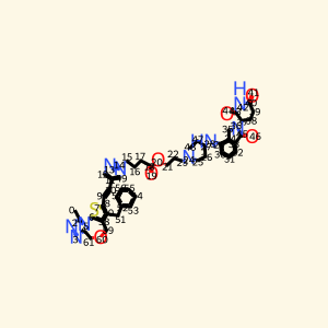 Cc1nnc2n1-c1sc(C#Cc3cnn(CCCC(=O)OCCCN4CCC(Nc5cccc6c5CN(C5CCC(=O)NC5=O)C6=O)CC4)c3)c(Cc3ccccc3)c1COC2